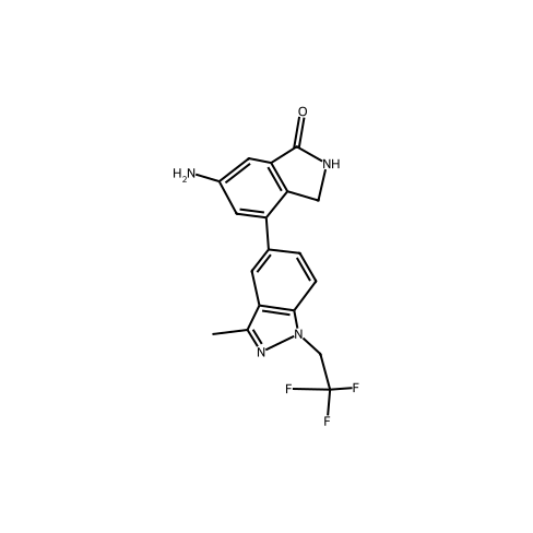 Cc1nn(CC(F)(F)F)c2ccc(-c3cc(N)cc4c3CNC4=O)cc12